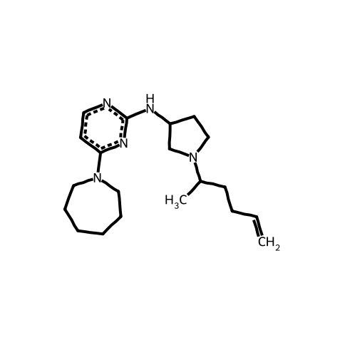 C=CCCC(C)N1CCC(Nc2nccc(N3CCCCCC3)n2)C1